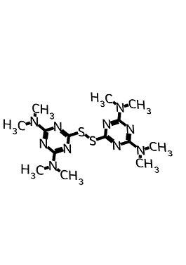 CN(C)c1nc(SSc2nc(N(C)C)nc(N(C)C)n2)nc(N(C)C)n1